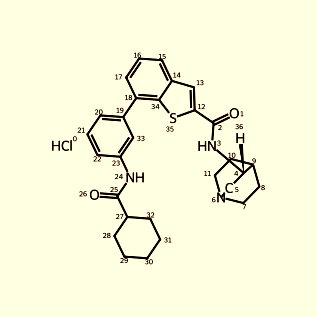 Cl.O=C(N[C@H]1CN2CCC1CC2)c1cc2cccc(-c3cccc(NC(=O)C4CCCCC4)c3)c2s1